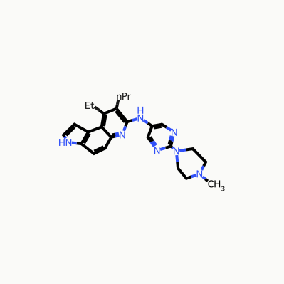 CCCc1c(Nc2cnc(N3CCN(C)CC3)nc2)nc2ccc3[nH]ccc3c2c1CC